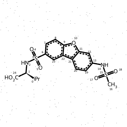 CC(C)[C@H](NS(=O)(=O)c1ccc2oc3cc(NS(C)(=O)=O)ccc3c2c1)C(=O)O